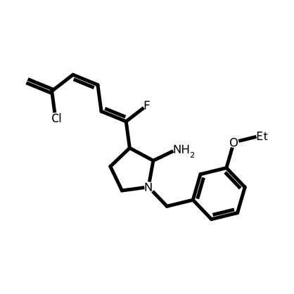 C=C(Cl)/C=C\C=C(/F)C1CCN(Cc2cccc(OCC)c2)C1N